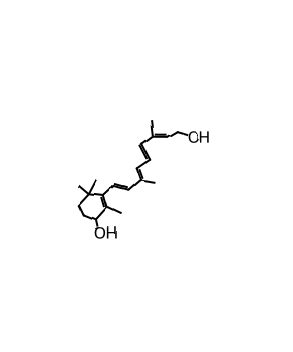 CC(C=CC1=C(C)C(O)CCC1(C)C)=CC=CC(C)=CCO